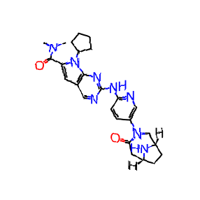 CN(C)C(=O)c1cc2cnc(Nc3ccc(N4C[C@@H]5CC[C@H](CC4=O)N5)cn3)nc2n1C1CCCC1